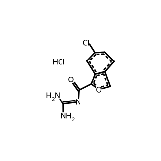 Cl.NC(N)=NC(=O)c1occ2ccc(Cl)cc12